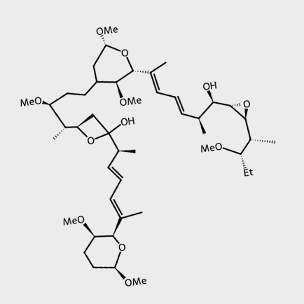 CC[C@H](OC)[C@@H](C)[C@@H]1O[C@H]1[C@H](O)[C@@H](C)/C=C/C=C(\C)[C@H]1O[C@@H](OC)CC(CC[C@H](OC)[C@@H](C)[C@H]2CC(O)([C@@H](C)/C=C/C=C(\C)[C@H]3O[C@@H](OC)CC[C@H]3OC)O2)[C@@H]1OC